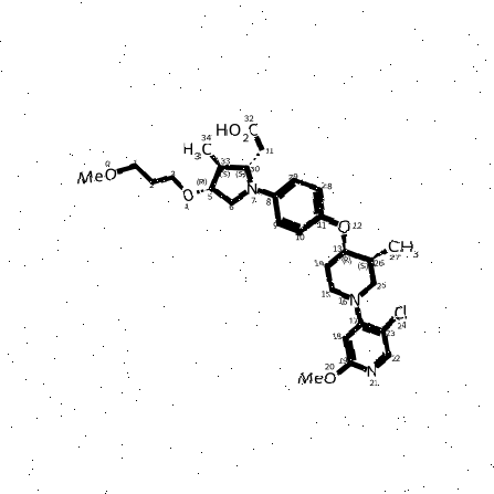 COCCCO[C@H]1CN(c2ccc(O[C@@H]3CCN(c4cc(OC)ncc4Cl)C[C@@H]3C)cc2)[C@@H](CC(=O)O)[C@@H]1C